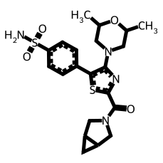 CC1CN(c2nc(C(=O)N3CC4CC4C3)sc2-c2ccc(S(N)(=O)=O)cc2)CC(C)O1